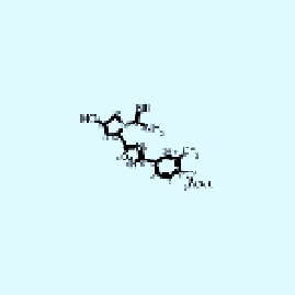 CCCCCCCCOc1ccc(-c2noc(C3CC(O)CN3C(=N)N)n2)cc1C(F)(F)F